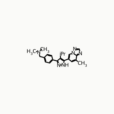 Cc1cc(-c2[nH]nc(-c3ccc(CN(C)C)cc3)c2C(C)C)cn2ncnc12